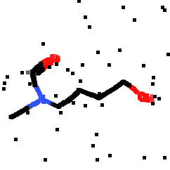 CN([C]=O)CCCCO